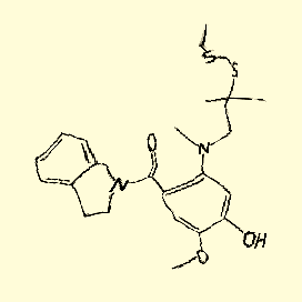 COc1cc(C(=O)N2CCc3ccccc32)c(N(C)CC(C)(C)SSC)cc1O